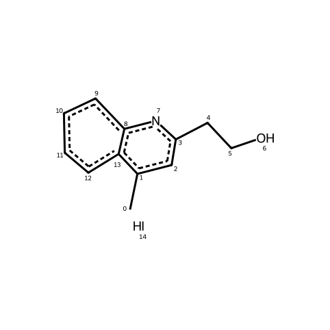 Cc1cc(CCO)nc2ccccc12.I